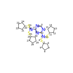 c1nc(N(SC2CCCC2)SC2CCCC2)nc(N(SC2CCCC2)SC2CCCC2)n1